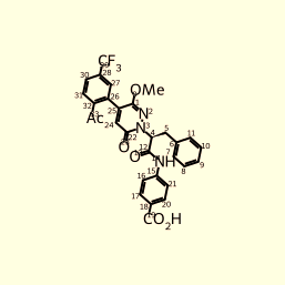 COc1nn([C@@H](Cc2ccccc2)C(=O)Nc2ccc(C(=O)O)cc2)c(=O)cc1-c1cc(C(F)(F)F)ccc1C(C)=O